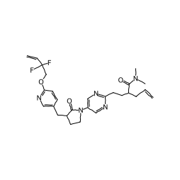 C=CCC(CCc1ncc(N2CCC(Cc3ccc(OCC(F)(F)C=C)nc3)C2=O)cn1)C(=O)N(C)C